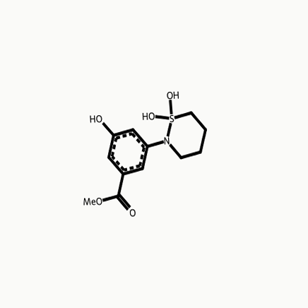 COC(=O)c1cc(O)cc(N2CCCCS2(O)O)c1